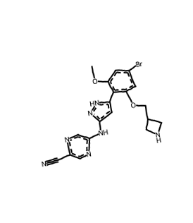 COc1cc(Br)cc(OCC2CNC2)c1-c1cc(Nc2cnc(C#N)cn2)n[nH]1